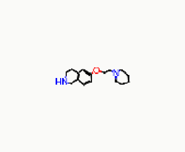 c1cc2c(cc1OCCN1CCCCC1)CCNC2